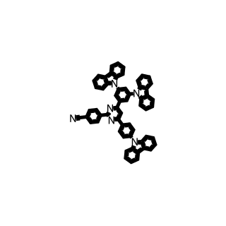 N#Cc1ccc(-c2nc(-c3ccc(-n4c5ccccc5c5ccccc54)cc3)cc(-c3cc(-n4c5ccccc5c5ccccc54)cc(-n4c5ccccc5c5ccccc54)c3)n2)cc1